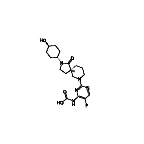 O=C(O)Nc1nc(N2CCC[C@@]3(CCN([C@H]4CC[C@H](O)CC4)C3=O)C2)ncc1F